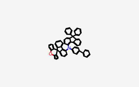 c1ccc(-c2ccc(N(c3cccc4c3-c3ccccc3C4(c3ccccc3)c3ccccc3)c3cccc4c3-c3ccccc3C43c4ccccc4Oc4ccccc43)cc2)cc1